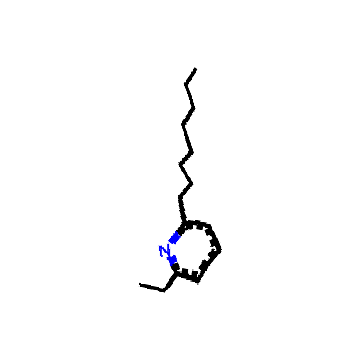 CCCCCCCCc1cccc(CC)n1